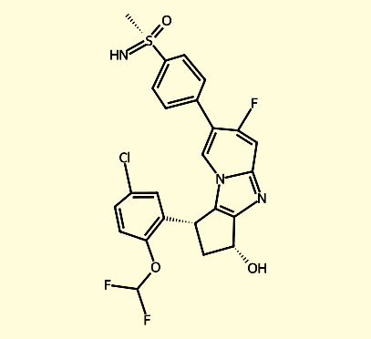 C[S@](=N)(=O)c1ccc(-c2cn3c4c(nc3cc2F)[C@H](O)C[C@@H]4c2cc(Cl)ccc2OC(F)F)cc1